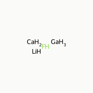 F.[CaH2].[GaH3].[LiH]